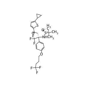 CC(C)(C)[S@+]([O-])N[C@@](CC(=O)c1ccc(C2CC2)s1)(c1ccc(OCCCC(F)(F)F)cc1)C(F)(F)F